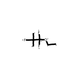 CCOC(F)(F)C(C)(C)F